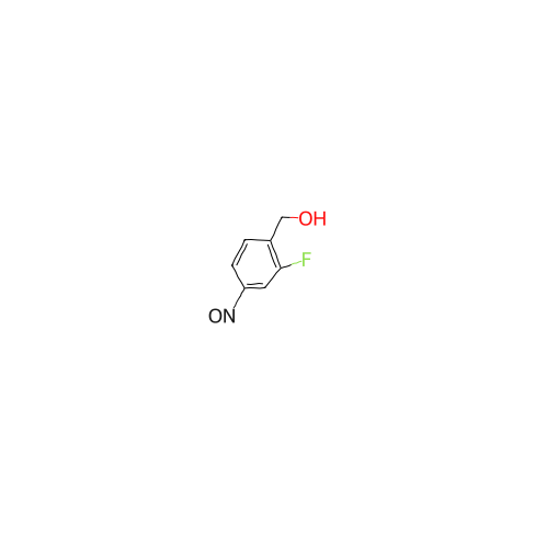 O=Nc1ccc(CO)c(F)c1